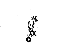 CCOCc1nc2c(Oc3ccccc3)nc(C)c(C)c2n1CCCCNS(C)(=O)=O